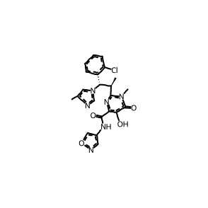 Cc1cn([C@H](c2ccccc2Cl)[C@@H](C)c2nc(C(=O)Nc3cnoc3)c(O)c(=O)n2C)cn1